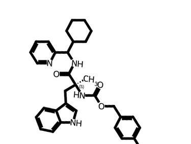 C[C@@](Cc1c[nH]c2ccccc12)(NC(=O)OCc1ccc(Cl)cc1)C(=O)NC(c1ccccn1)C1CCCCC1